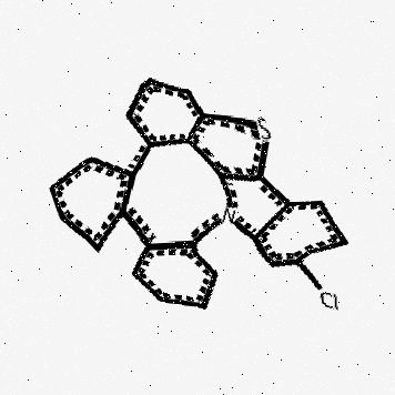 Clc1ccc2c3sc4cccc5c6ccccc6c6ccccc6n(c2c1)c3c45